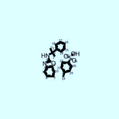 CC(C)(Nc1nc2ccccc2o1)c1ccccc1.Cc1ccc(S(=O)(=O)O)cc1